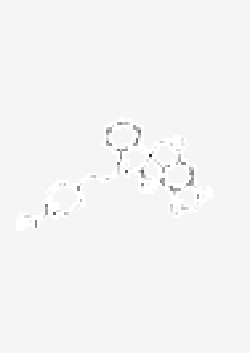 CC(C)N1CCC(CCN2C(=O)C3(COc4cc5c(cc43)OCO5)c3ccccc32)CC1